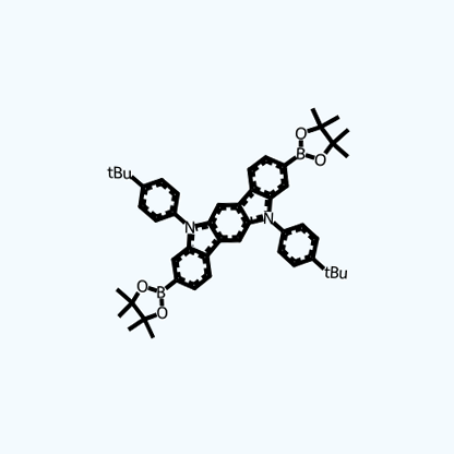 CC(C)(C)c1ccc(-n2c3cc(B4OC(C)(C)C(C)(C)O4)ccc3c3cc4c(cc32)c2ccc(B3OC(C)(C)C(C)(C)O3)cc2n4-c2ccc(C(C)(C)C)cc2)cc1